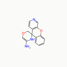 NC1=COCC2(N1)c1ccccc1Oc1cnccc12